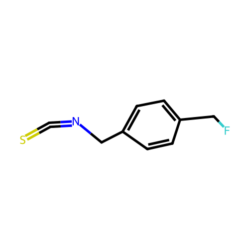 FCc1ccc(CN=C=S)cc1